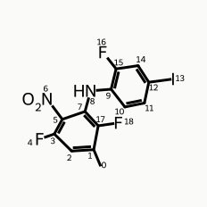 Cc1cc(F)c([N+](=O)[O-])c(Nc2ccc(I)cc2F)c1F